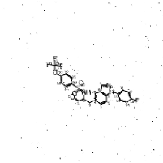 O=C[C@H](Cc1ccc2c(cnn2-c2ccc(F)cc2)c1)NS(=O)(=O)c1ccc(OC(F)(F)F)cc1